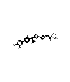 CN(C)C(=O)Cn1cc(-c2nc([C@@](C)(c3ccc(-c4cnc(N)c(C#N)n4)cc3)C3CC3)no2)cn1